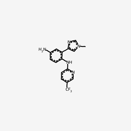 Cn1cnc(-c2cc(N)ccc2Nc2ccc(C(F)(F)F)cn2)c1